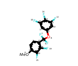 COc1ccc(C(F)(F)Oc2cc(F)c(F)c(F)c2)c(F)c1F